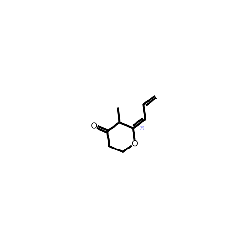 C=C/C=C1/OCCC(=O)C1C